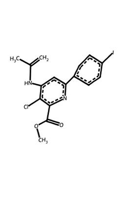 C=C(C)Nc1cc(-c2ccc(I)cc2)nc(C(=O)OC)c1Cl